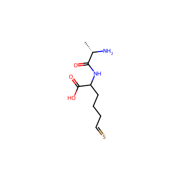 C[C@H](N)C(=O)NC(CCCC=S)C(=O)O